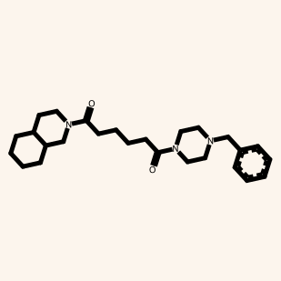 O=C(CCCCC(=O)N1CCC2CCCCC2C1)N1CCN(Cc2ccccc2)CC1